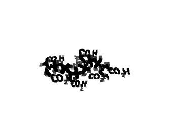 CC(C)(CC(C)(C)N(CC(=O)O)CC(=O)O)C(CC(=O)O)C(C)(C)CC(C)(C)N(CC(=O)O)C(C)(C)CC(C)(C)N(CC(=O)O)CC(=O)O